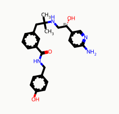 CC(C)(Cc1cccc(C(=O)NCc2ccc(O)cc2)c1)NC[C@H](O)c1ccc(N)nc1